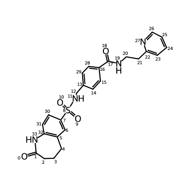 O=C1CCCc2cc(S(=O)(=O)NCc3ccc(C(=O)NCCc4ccccn4)cc3)ccc2N1